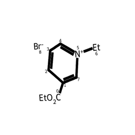 CCOC(=O)c1ccc[n+](CC)c1.[Br-]